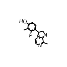 CC1=NC=CN2C1=NCC2c1ccc(O)c(C)c1F